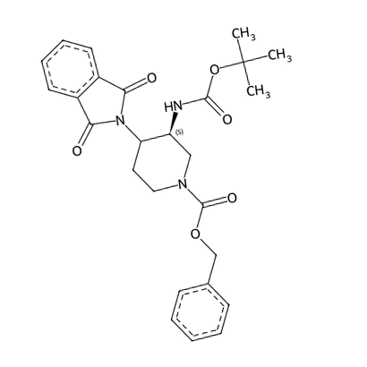 CC(C)(C)OC(=O)N[C@H]1CN(C(=O)OCc2ccccc2)CCC1N1C(=O)c2ccccc2C1=O